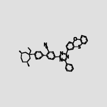 CCC1(c2ccc(-c3ccc(-c4nc(-c5ccccc5)nc(-c5ccc6c(c5)Sc5ccccc5O6)n4)cc3C#N)cc2)C[C@H](C)CC[C@H](C)C1